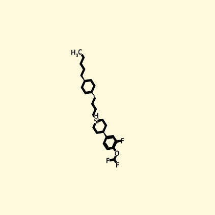 CCCCC[C@H]1CC[C@H](CCCC[Si@H]2CC[C@H](c3ccc(OC(F)F)c(F)c3)CC2)CC1